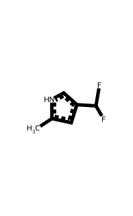 Cc1cc(C(F)F)c[nH]1